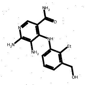 CCc1c(CO)cccc1Nc1c(C(N)=O)cnc(N)c1N